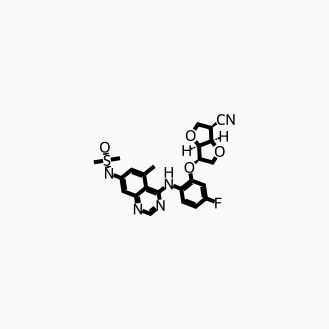 Cc1cc(N=S(C)(C)=O)cc2ncnc(Nc3ccc(F)cc3O[C@@H]3CO[C@H]4[C@@H]3OC[C@H]4C#N)c12